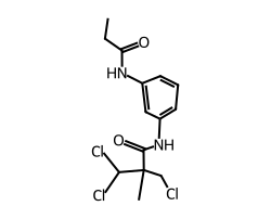 CCC(=O)Nc1cccc(NC(=O)C(C)(CCl)C(Cl)Cl)c1